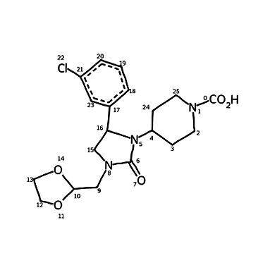 O=C(O)N1CCC(N2C(=O)N(CC3OCCO3)CC2c2cccc(Cl)c2)CC1